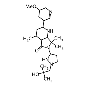 COC1CN=CC(C2CC(C)C3C(=O)N(C4CCN(CC(C)(C)O)N4)C(C)(C)C3N2)C1